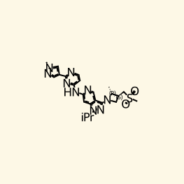 CC(C)n1nc(N2C[C@H](CS(C)(=O)=O)[C@H]2C)c2cnc(Nc3ccnc(-c4cnn(C)c4)n3)cc21